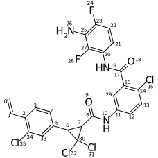 C=Cc1ccc(C2C(C(=O)Nc3ccc(Cl)c(C(=O)Nc4ccc(F)c(N)c4F)c3)C2(Cl)Cl)cc1Cl